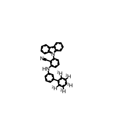 [2H]c1c([2H])c([2H])c(-c2cccc(Nc3cccc(-n4c5ccccc5c5ccccc54)c3C#N)c2)c([2H])c1[2H]